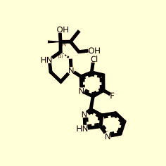 CC(CO)[C@@](C)(O)[C@@H]1CN(c2nc(-c3n[nH]c4ncccc34)c(F)cc2Cl)CCN1